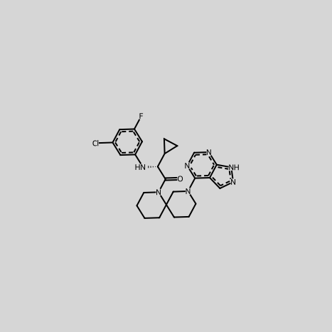 O=C([C@H](Nc1cc(F)cc(Cl)c1)C1CC1)N1CCCCC12CCCN(c1ncnc3[nH]ncc13)C2